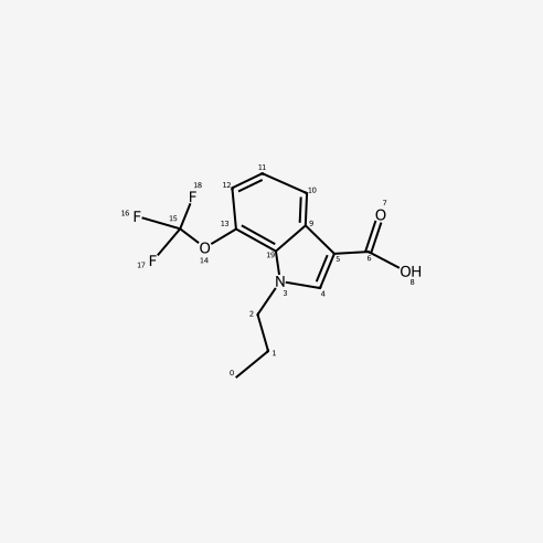 CCCn1cc(C(=O)O)c2cccc(OC(F)(F)F)c21